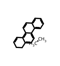 C1=Cc2c(ccc3c2ccc2ccccc23)CC1.CC